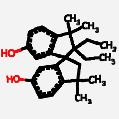 CCC1(CC)C(C)(C)c2ccc(O)cc2C12CC(C)(C)c1ccc(O)cc12